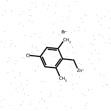 Cc1cc(Cl)cc(C)c1[CH2][Zn+].[Br-]